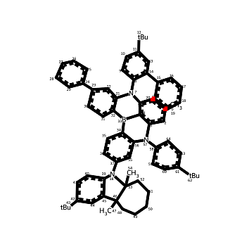 Cc1cc2c3c(c1)N(c1ccc(C(C)(C)C)cc1-c1ccccc1)c1cc(-c4ccccc4)ccc1B3c1ccc(N3c4ccc(C(C)(C)C)cc4C4(C)CCCCCC34C)cc1N2c1ccc(C(C)(C)C)cc1